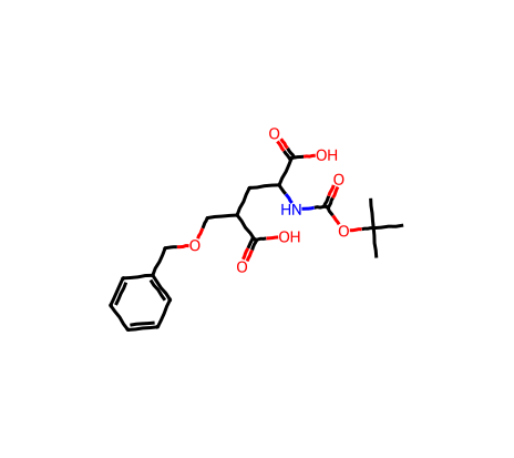 CC(C)(C)OC(=O)NC(CC(COCc1ccccc1)C(=O)O)C(=O)O